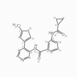 Cc1cc(-c2ccncc2NC(=O)c2ccnc(NC(=O)C3CC3)c2)cs1